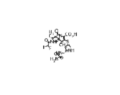 C[C@@H](NC(=O)C(F)F)[C@H]1C(=O)N2C(C(=O)O)=C(S[C@@H]3CN[C@H](CNS(N)(=O)=O)C3)[C@H](C)[C@H]12